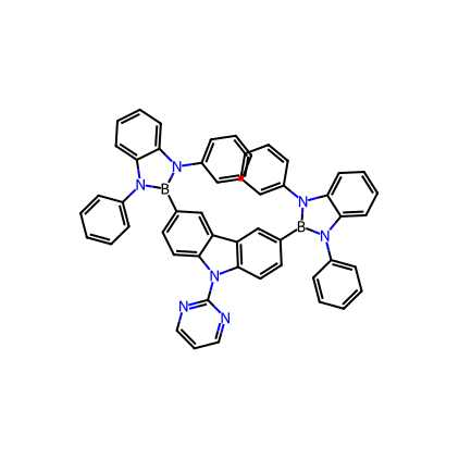 c1ccc(N2B(c3ccc4c(c3)c3cc(B5N(c6ccccc6)c6ccccc6N5c5ccccc5)ccc3n4-c3ncccn3)N(c3ccccc3)c3ccccc32)cc1